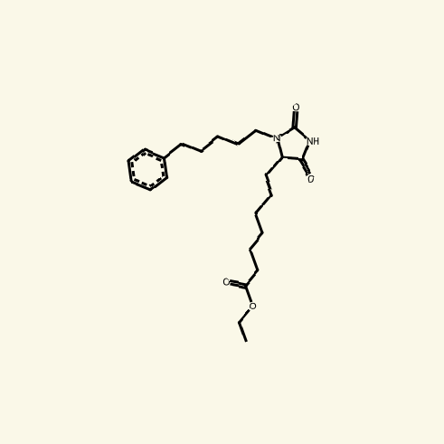 CCOC(=O)CCCCCCC1C(=O)NC(=O)N1CCCCCc1ccccc1